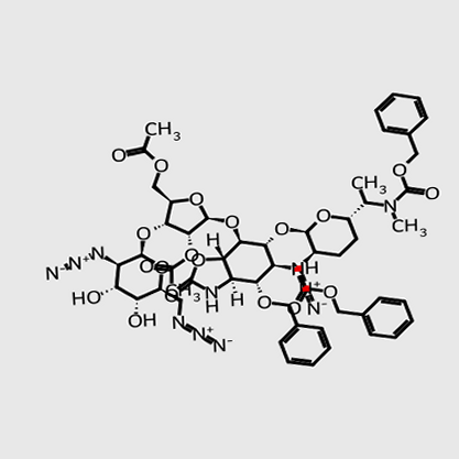 CC(=O)OC[C@H]1O[C@@H](O[C@H]2[C@H](O[C@H]3O[C@H](C(C)N(C)C(=O)OCc4ccccc4)CC[C@H]3N=[N+]=[N-])[C@@H](NC(=O)OCc3ccccc3)[C@H](OCc3ccccc3)[C@H]3NC(=O)O[C@@H]32)[C@H](OC(C)=O)[C@@H]1O[C@H]1O[C@@H](CN=[N+]=[N-])[C@H](O)[C@H](O)[C@H]1N=[N+]=[N-]